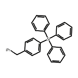 CC(C)Cc1ccc([Si](c2ccccc2)(c2ccccc2)c2ccccc2)cc1